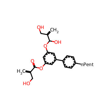 C=C(CO)C(=O)Oc1cc(OC(O)C(=C)CO)cc(-c2ccc(CCCCC)cc2)c1